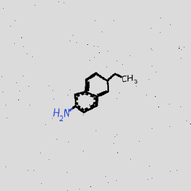 CCC1C=c2ccc(N)cc2=CC1